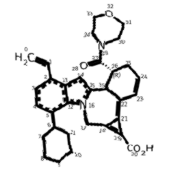 C=Cc1ccc(C2CCCCC2)c2c1cc1n2CC2=C(C(=O)O)C2=C2C=CC[C@@H](C(=O)N3CCOCC3)C21